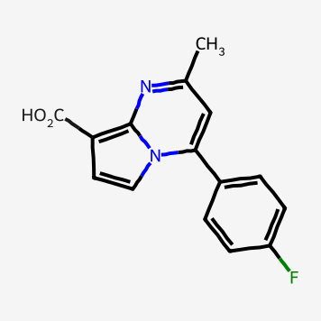 Cc1cc(-c2ccc(F)cc2)n2ccc(C(=O)O)c2n1